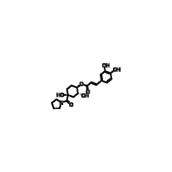 O=C(/C=C/c1ccc(O)c(O)c1)O[C@@H]1CC[C@@](O)(C(=O)N2CCCC2)C[C@H]1O